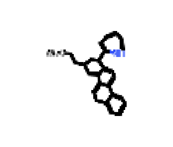 COCCC1C=c2c(ccc3c2=CCc2ccccc2-3)C(C2=CC=CC=CN2)C1